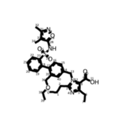 CCCc1nc(CC)c(C(=O)O)n1Cc1ccc(-c2ccccc2S(=O)(=O)Nc2onc(C)c2C)c(COCC)c1